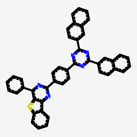 c1ccc(-c2nc(-c3ccc(-c4nc(-c5ccc6ccccc6c5)nc(-c5ccc6ccccc6c5)n4)cc3)nc3c2sc2ccccc23)cc1